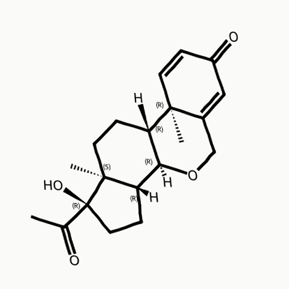 CC(=O)[C@@]1(O)CC[C@H]2[C@@H]3OCC4=CC(=O)C=C[C@]4(C)[C@H]3CC[C@@]21C